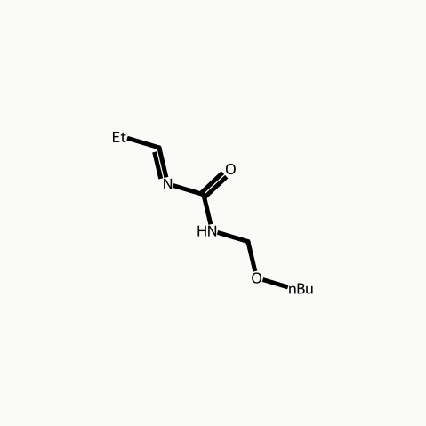 CCC=NC(=O)NCOCCCC